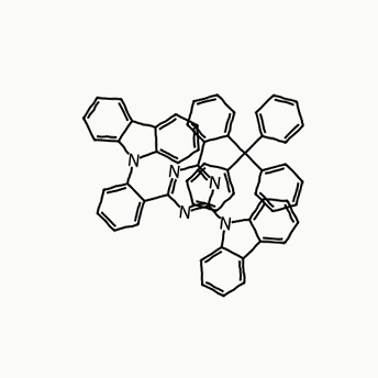 c1ccc(C(c2ccccc2)(c2ccccc2)c2ccccc2-c2nc(-c3ccccc3-n3c4ccccc4c4ccccc43)nc(-n3c4ccccc4c4ccccc43)n2)cc1